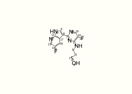 OSCCNc1nc(-c2c[nH]c3ncc(F)cc23)ncc1F